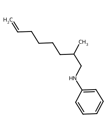 C=CCCCCC(C)CNc1ccccc1